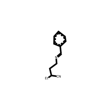 CCC(C#N)CC/N=C/c1ccccc1